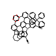 N#Cc1cc2c(c3c1C1CCCC4CCC34C1)c1c(-c3c(-c4ccccc4)cccc3-c3ccccc3)cc(-c3c(-c4ccccc4)cccc3-c3ccccc3)c3c4c5c(c(C#N)cc4n2c31)C(c1ccccc1)(c1ccccc1)c1ccccc1-5